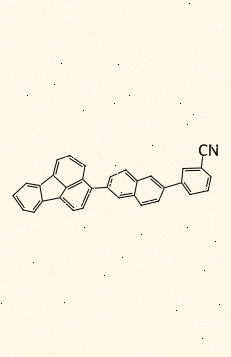 N#Cc1cccc(-c2ccc3cc(-c4ccc5c6c(cccc46)-c4ccccc4-5)ccc3c2)c1